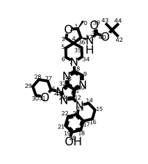 C[C@@H]1OCC2(CCN(c3cnc4c(N5CCCc6cc(O)ccc65)nn(C5CCCCO5)c4n3)CC2)[C@@H]1NC(=O)OC(C)(C)C